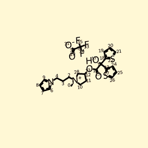 C[N+]1(CCCn2cccc2)CCC(OC(=O)C(O)(c2cccs2)c2cccs2)C1.O=C([O-])C(F)(F)F